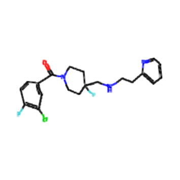 O=C(c1ccc(F)c(Cl)c1)N1CCC(F)(CNCCc2ccccn2)CC1